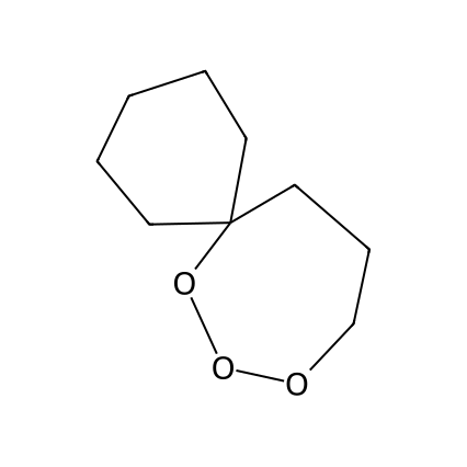 C1CCC2(CC1)CCCOOO2